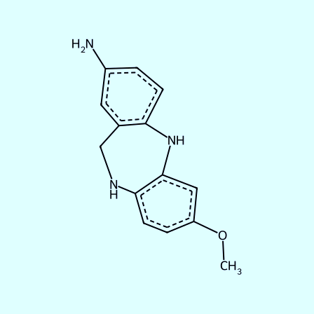 COc1ccc2c(c1)Nc1ccc(N)cc1CN2